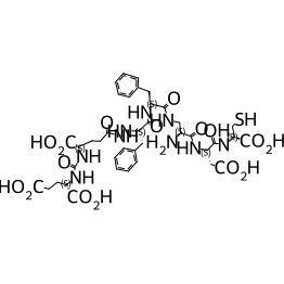 N[C@@H](CNC(=O)[C@H](Cc1ccccc1)NC(=O)[C@H](Cc1ccccc1)NNC(=O)CC[C@H](NC(=O)N[C@@H](CCC(=O)O)C(=O)O)C(=O)O)C(=O)N[C@@H](CC(=O)O)C(=O)N[C@@H](CS)C(=O)O